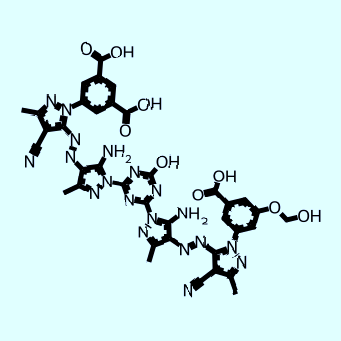 Cc1nn(-c2cc(OCO)cc(C(=O)O)c2)c(N=Nc2c(C)nn(-c3nc(O)nc(-n4nc(C)c(N=Nc5c(C#N)c(C)nn5-c5cc(C(=O)O)cc(C(=O)O)c5)c4N)n3)c2N)c1C#N